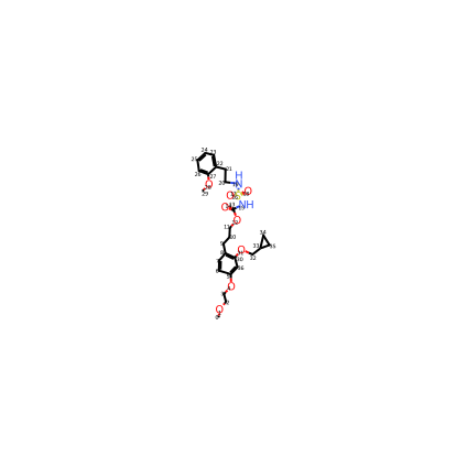 COCCOc1ccc(CCCOC(=O)NS(=O)(=O)NCCc2ccccc2OC)c(OCC2CC2)c1